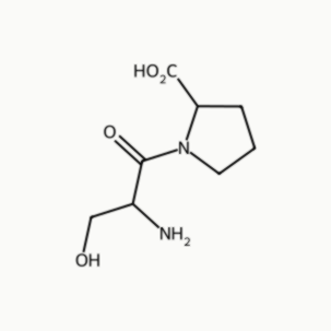 NC(CO)C(=O)N1CCCC1C(=O)O